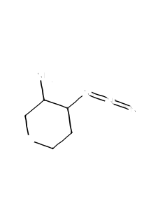 [N-]=[N+]=NC1CCOCC1N